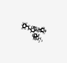 CC(F)(CC[C@H](C[C@@H](O)[CH]Cc1ccccc1)C(=O)NCc1ccncc1)C(N)=O